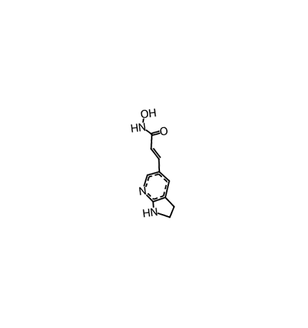 O=C(/C=C/c1cnc2c(c1)CCN2)NO